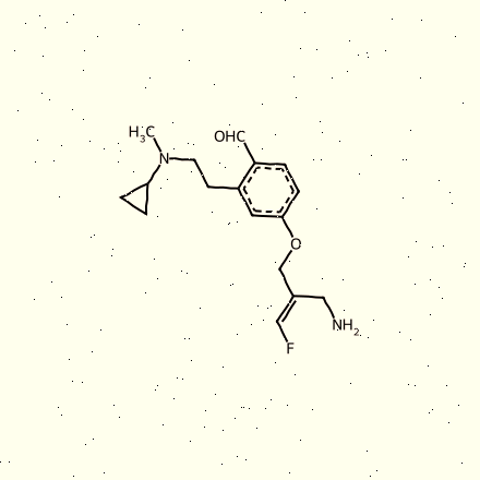 CN(CCc1cc(OC/C(=C/F)CN)ccc1C=O)C1CC1